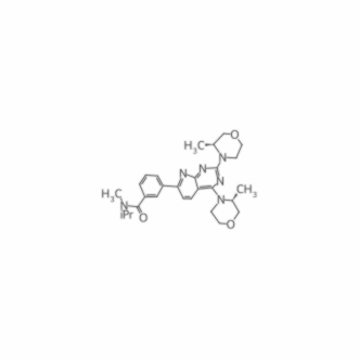 CC(C)N(C)C(=O)c1cccc(-c2ccc3c(N4CCOC[C@@H]4C)nc(N4CCOC[C@@H]4C)nc3n2)c1